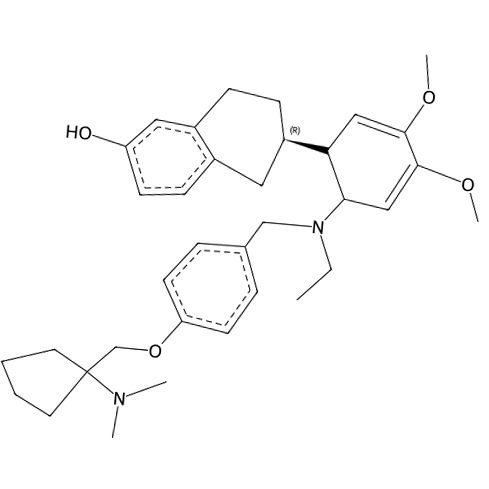 CCN(Cc1ccc(OCC2(N(C)C)CCCC2)cc1)C1C=C(OC)C(OC)=CC1[C@@H]1CCc2cc(O)ccc2C1